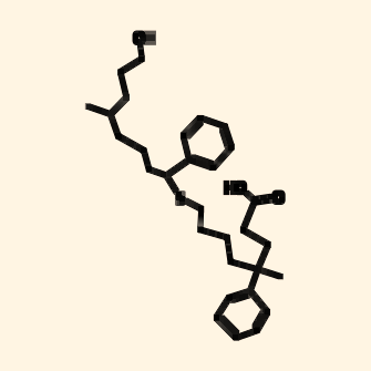 CC(CCCO)CCCC(SCCCCC(C)(CCC(=O)O)c1ccccc1)c1ccccc1